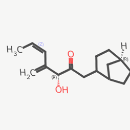 C=C(/C=C\C)[C@@H](O)C(=O)CC1CC[C@H]2CCC1C2